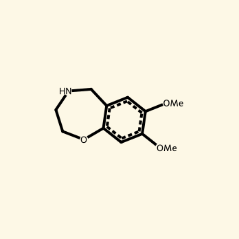 COc1cc2c(cc1OC)OCCNC2